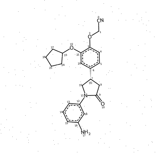 N#CCOc1ccc([C@@H]2CC(=O)N(c3cccc(N)c3)C2)cc1OC1CCCC1